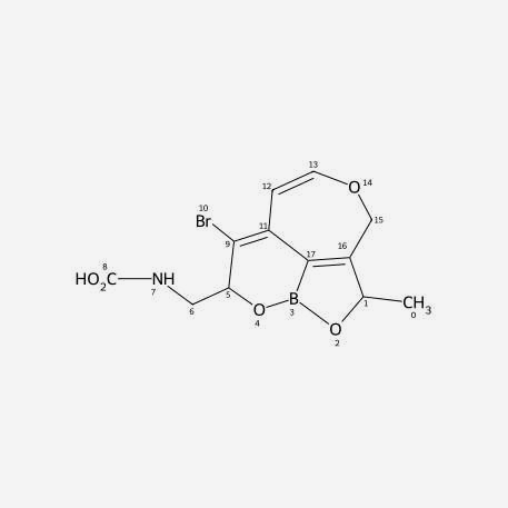 CC1OB2OC(CNC(=O)O)C(Br)=C3C=COCC1=C23